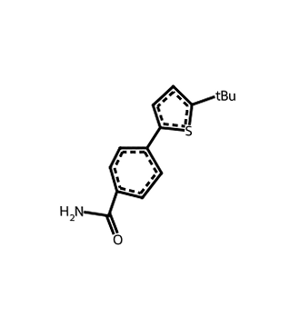 CC(C)(C)c1ccc(-c2ccc(C(N)=O)cc2)s1